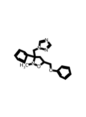 CN1OC(COc2ccccc2)CC1(Cn1cncn1)c1ccccc1